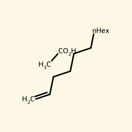 C=CCCCCCCCCCC.CC(=O)O